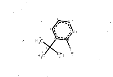 CC(C)(C)c1ccnnc1I